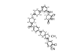 C[C@H]1CC2(CCN(c3ccc(C(=O)N4CCC(CN5CCN(c6cc(N[C@@H]7CCC(=O)NC7=O)ccn6)CC5)CC4)cc3)CC2)CN1c1ccc(C#N)c(Cl)c1